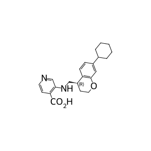 O=C(O)c1ccncc1NC[C@@H]1CCOc2cc(C3CCCCC3)ccc21